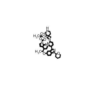 CC(Oc1ccc2c(c1)c(-c1ccc(N3CC4(CCNCC4)C3)nc1)nn2C1CCCCO1)c1ccnc2c1ccn2C(=O)OC(C)(C)C